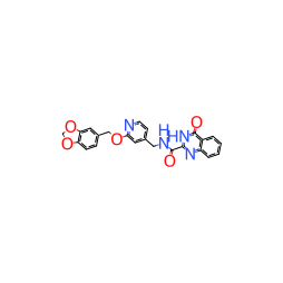 O=C(NCc1ccnc(OCc2ccc3c(c2)OCO3)c1)c1nc2ccccc2c(=O)[nH]1